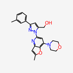 Cc1cccc(-c2cc(CO)n(-c3cc(N4CCOCC4)c4oc(C)cc4n3)n2)c1